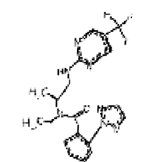 CCN(C(=O)c1ccccc1-n1nccn1)C(C)CNc1ncc(C(F)(F)F)cn1